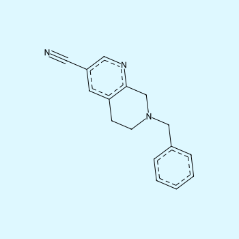 N#Cc1cnc2c(c1)CCN(Cc1ccccc1)C2